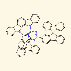 c1ccc(-c2nc(-c3ccc4c(c3)C(c3ccccc3)(c3ccccc3)c3ccccc3-4)nc(-n3c4ccccc4c4ccc5c6ccccc6n(-c6ccc7c8ccccc8c8ccccc8c7c6)c5c43)n2)cc1